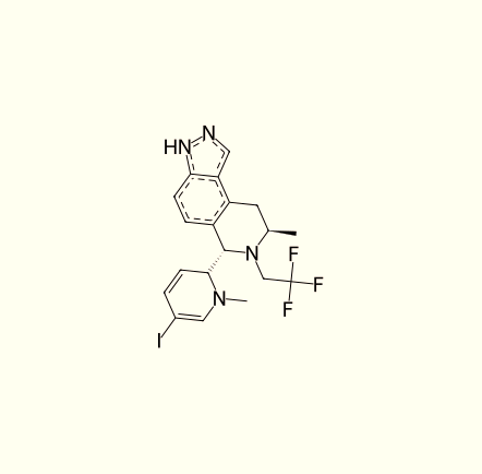 C[C@@H]1Cc2c(ccc3[nH]ncc23)[C@@H](C2C=CC(I)=CN2C)N1CC(F)(F)F